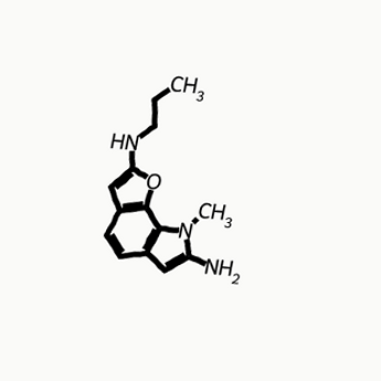 CCCNc1cc2ccc3cc(N)n(C)c3c2o1